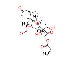 CCC(=O)OCC(=O)[C@@]1(O)C(O)C[C@H]2[C@@H]3CCC4=CC(=O)C=C[C@]4(C)[C@@]3(Br)[C@H](OC=O)C[C@@]21C